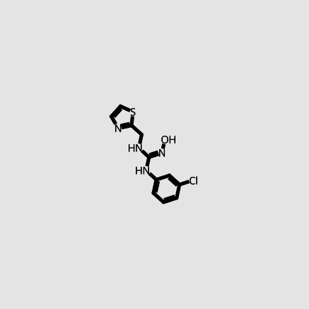 ON=C(NCc1nccs1)Nc1cccc(Cl)c1